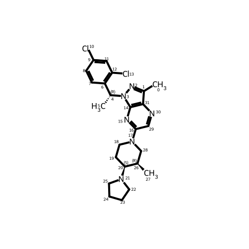 Cc1nn([C@H](C)c2ccc(Cl)cc2Cl)c2nc(N3CC[C@H](N4CCCC4)[C@H](C)C3)cnc12